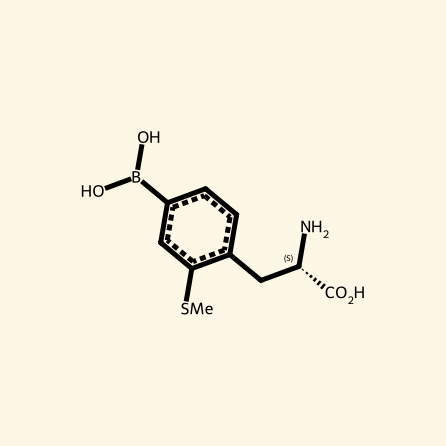 CSc1cc(B(O)O)ccc1C[C@H](N)C(=O)O